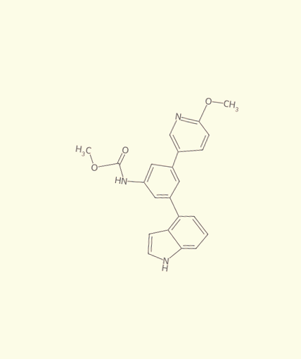 COC(=O)Nc1cc(-c2ccc(OC)nc2)cc(-c2cccc3[nH]ccc23)c1